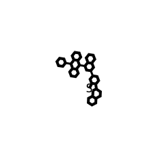 c1ccc(-c2c3ccccc3c(-c3cc(-c4ccc5c(c4)sc4c6ccccc6ccc54)cc4ccccc34)c3ccccc23)cc1